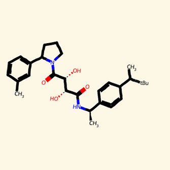 Cc1cccc(C2CCCN2C(=O)[C@H](O)[C@@H](O)C(=O)N[C@H](C)C2=C=CC(C(C)C(C)(C)C)C=C2)c1